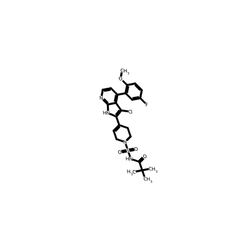 COc1ccc(F)cc1-c1ccnc2[nH]c(C3=CCN(S(=O)(=O)NC(=O)C(C)(C)C)CC3)c(Cl)c12